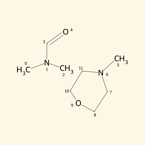 CN(C)C=O.CN1CCOCC1